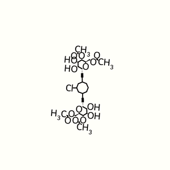 CC(=O)OC[C@H]1O[C@H](C#CC2CCCC(C#C[C@H]3O[C@H](COC(C)=O)[C@@H](OC(C)=O)[C@H](O)[C@@H]3O)CC(Cl)C2)[C@@H](O)[C@@H](O)[C@@H]1OC(C)=O